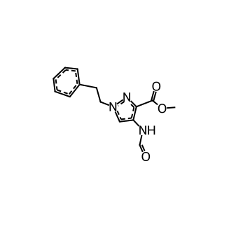 COC(=O)c1nn(CCc2ccccc2)cc1NC=O